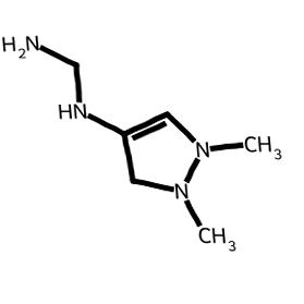 CN1C=C(NCN)CN1C